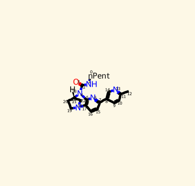 CCCCCNC(=O)N1c2nc(-c3ccc(C)nc3)ccc2N2CC[C@H]1C2